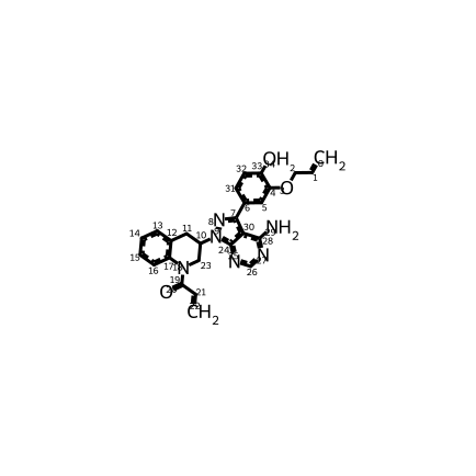 C=CCOc1cc(-c2nn(C3Cc4ccccc4N(C(=O)C=C)C3)c3ncnc(N)c23)ccc1O